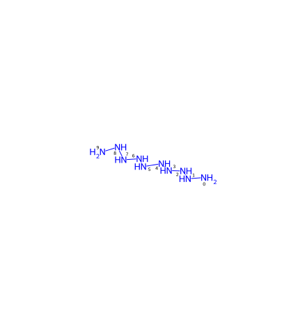 NNNNNNNNNN